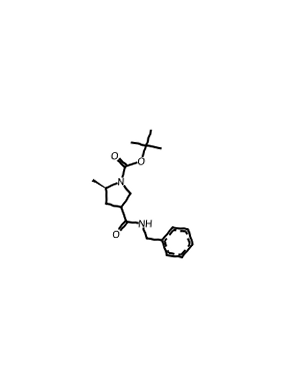 C[C@@H]1CC(C(=O)NCc2ccccc2)CN1C(=O)OC(C)(C)C